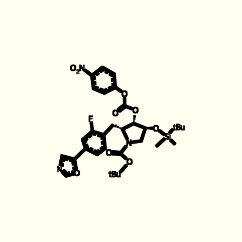 CC(C)(C)OC(=O)N1C[C@H](O[Si](C)(C)C(C)(C)C)[C@@H](OC(=O)Oc2ccc([N+](=O)[O-])cc2)[C@H]1Cc1ccc(-c2cnco2)cc1F